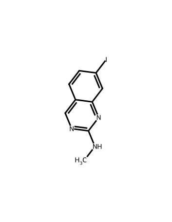 CNc1ncc2ccc(I)cc2n1